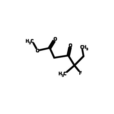 CCC(C)(F)C(=O)CC(=O)OC